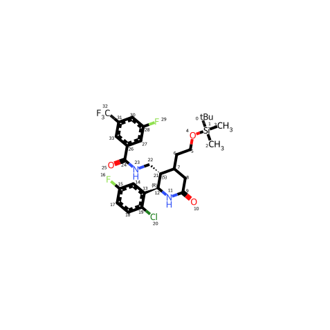 CC(C)(C)[Si](C)(C)OCCC1CC(=O)N[C@@H](c2cc(F)ccc2Cl)[C@@H]1CNC(=O)c1cc(F)cc(C(F)(F)F)c1